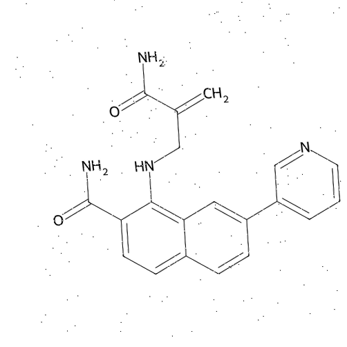 C=C(CNc1c(C(N)=O)ccc2ccc(-c3cccnc3)cc12)C(N)=O